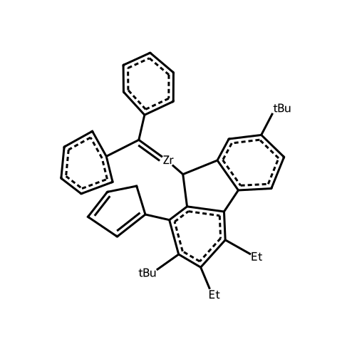 CCc1c(CC)c(C(C)(C)C)c(C2=CC=CC2)c2c1-c1ccc(C(C)(C)C)cc1[CH]2[Zr]=[C](c1ccccc1)c1ccccc1